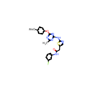 COc1ccc(Oc2nc(C)nc(Nc3ncc(CC(=O)Nc4cccc(F)c4)s3)n2)cc1